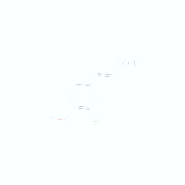 CC(C)Oc1ccc(C=CC(=O)O)cc1Br